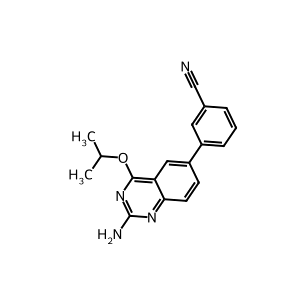 CC(C)Oc1nc(N)nc2ccc(-c3cccc(C#N)c3)cc12